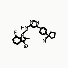 COc1c(C)n(CCNc2cc(-c3ccc(C4(C#N)CCCC4)cc3)ncn2)c2c(F)cccc12